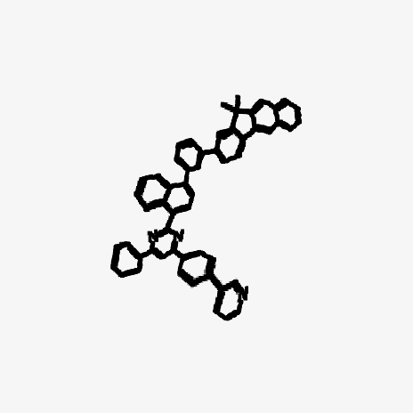 CC1(C)c2cc(-c3cccc(-c4ccc(-c5nc(-c6ccccc6)cc(-c6ccc(-c7cccnc7)cc6)n5)c5ccccc45)c3)ccc2-c2cc3ccccc3cc21